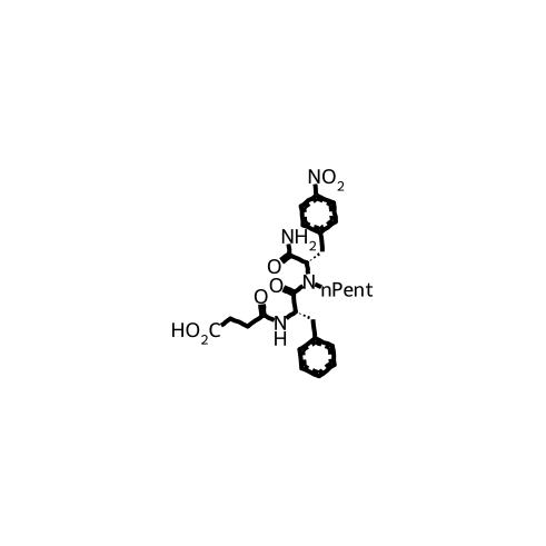 CCCCCN(C(=O)[C@H](Cc1ccccc1)NC(=O)CCC(=O)O)[C@@H](Cc1ccc([N+](=O)[O-])cc1)C(N)=O